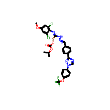 COc1cc(Cl)c(/N=C(/N/N=C/c2ccc(-c3ncn(-c4ccc(OC(F)(F)F)cc4)n3)cc2)SOC(=O)OC(C)C)c(Cl)c1